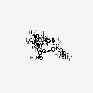 CCn1nc(C)cc1C(=O)Nc1nc2cc(C(N)=O)cc(OC)c2n1C/C=C/Cn1c(NC(=O)c2cc(C)nn2CC)nc2cc(C(N)=O)cc(OCC#CC3CCN(C(=O)N4CCC(O[Si](C)(C)C(C)(C)C)CC4)CC3)c21